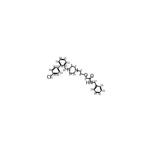 O=C(COCCN1CCN(Cc2ccccc2-c2ccc(Cl)cc2)CC1)NCc1ccccc1